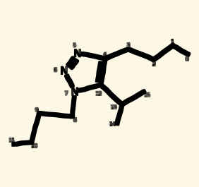 CCCCc1nnn(CCCC)c1C(C)C